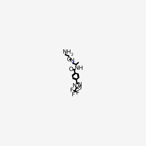 CC(/C=N/OCCN)NC(=O)c1ccc(-c2noc(C(F)(F)F)n2)cc1